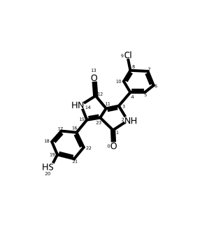 O=C1NC(c2cccc(Cl)c2)=C2C(=O)NC(c3ccc(S)cc3)=C12